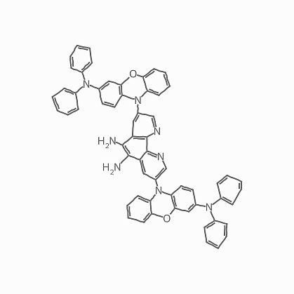 Nc1c(N)c2cc(N3c4ccccc4Oc4cc(N(c5ccccc5)c5ccccc5)ccc43)cnc2c2ncc(N3c4ccccc4Oc4cc(N(c5ccccc5)c5ccccc5)ccc43)cc12